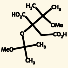 COC(C)(C)OC(CC(=O)O)(C(=O)O)C(C)(C)OC